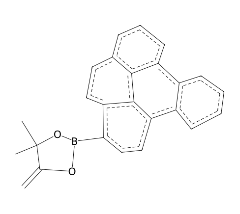 C=C1OB(c2ccc3c4ccccc4c4cccc5ccc2c3c54)OC1(C)C